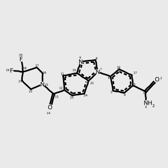 NC(=O)c1ccc(-n2cnc3cc(C(=O)N4CCC(F)(F)CC4)ccc32)cc1